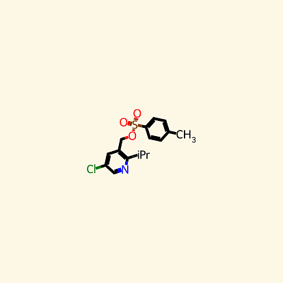 Cc1ccc(S(=O)(=O)OCc2cc(Cl)cnc2C(C)C)cc1